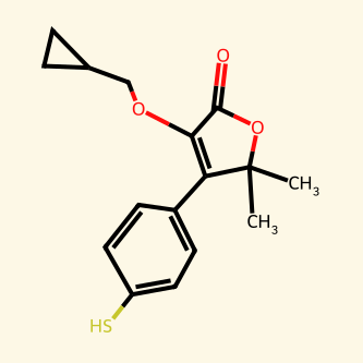 CC1(C)OC(=O)C(OCC2CC2)=C1c1ccc(S)cc1